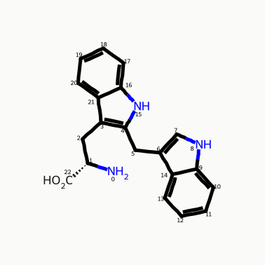 N[C@@H](Cc1c(Cc2c[nH]c3ccccc23)[nH]c2ccccc12)C(=O)O